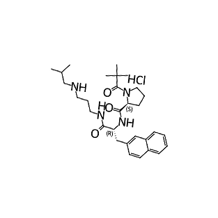 CC(C)CNCCCNC(=O)[C@@H](Cc1ccc2ccccc2c1)NC(=O)[C@@H]1CCCN1C(=O)C(C)(C)C.Cl